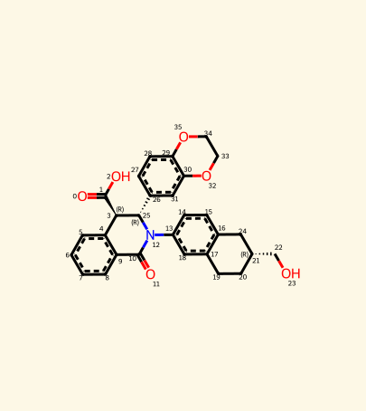 O=C(O)[C@@H]1c2ccccc2C(=O)N(c2ccc3c(c2)CC[C@@H](CO)C3)[C@H]1c1ccc2c(c1)OCCO2